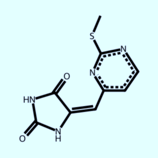 CSc1nccc(/C=C2/NC(=O)NC2=O)n1